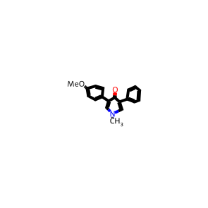 COc1ccc(-c2cn(C)cc(-c3ccccc3)c2=O)cc1